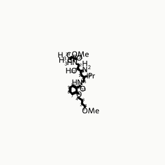 COCCCCOc1ccccc1C(=O)NCC(CC(N)C(O)CNC(=O)C(C)(C)OC)C(C)C